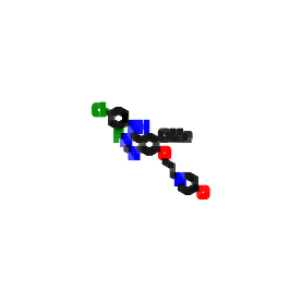 COc1cc2c(Nc3ccc(Cl)cc3F)ncnc2cc1OCCCn1ccc(=O)cc1